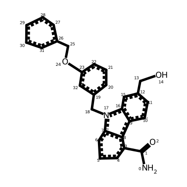 NC(=O)c1cccc2c1c1[c]cc(CO)cc1n2Cc1cccc(OCc2ccccc2)c1